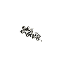 CCCC(NC(=O)C1[C@H]2CC=C[C@H]2CN1C(=O)C(NC(=O)[C@H](NC(=O)c1cnccn1)C(C)C)C(C)C)C(=O)C(=O)N[C@@H](C)c1ccccc1